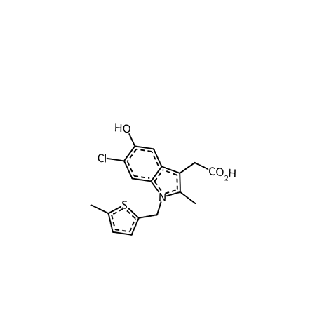 Cc1ccc(Cn2c(C)c(CC(=O)O)c3cc(O)c(Cl)cc32)s1